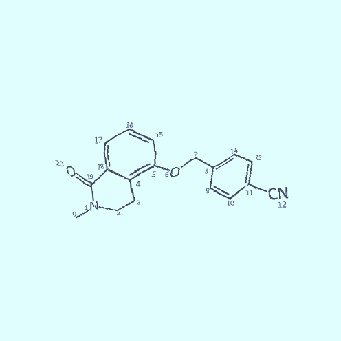 CN1CCc2c(OCc3ccc(C#N)cc3)cccc2C1=O